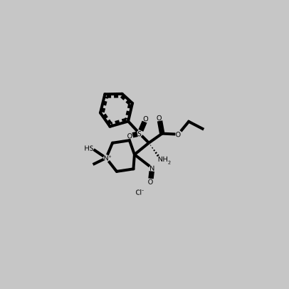 CCOC(=O)[C@@](N)(C1(N=O)CC[N+](C)(S)CC1)S(=O)(=O)c1ccccc1.[Cl-]